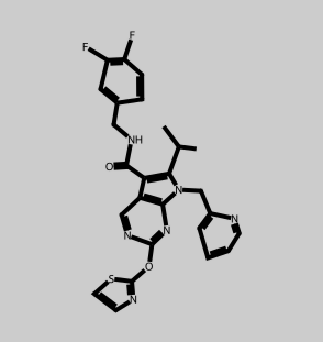 CC(C)c1c(C(=O)NCc2ccc(F)c(F)c2)c2cnc(Oc3nccs3)nc2n1Cc1ccccn1